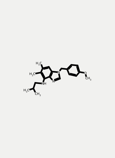 COc1ccc(Cn2cnc3c(NCC(C)C)c(C)c(C)cc32)cc1